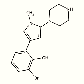 Cn1nc(-c2cccc(Br)c2O)cc1N1CCNCC1